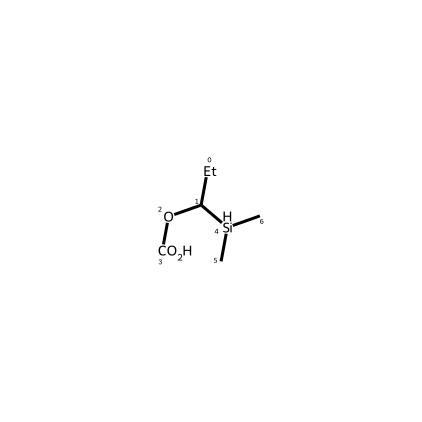 CCC(OC(=O)O)[SiH](C)C